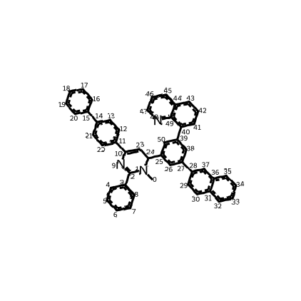 CN1C(c2ccccc2)=NC(c2ccc(-c3ccccc3)cc2)=CC1c1cc(-c2ccc3ccccc3c2)cc(-c2cccc3cccnc23)c1